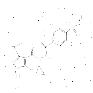 C=C(CN(C(=O)c1c(C(F)F)nn(C)c1F)C1CC1)c1ccc(S(=O)(=O)CC)cc1